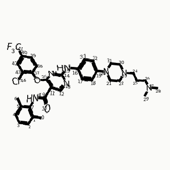 Cc1cccc(C)c1NC(=O)c1cnc(Nc2ccc(N3CCN(CCCN(C)C)CC3)cc2)nc1Oc1ccc(C(F)(F)F)cc1Cl